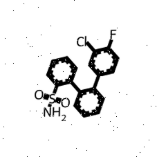 NS(=O)(=O)c1ccccc1-c1ccccc1-c1ccc(F)c(Cl)c1